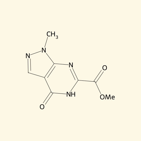 COC(=O)c1nc2c(cnn2C)c(=O)[nH]1